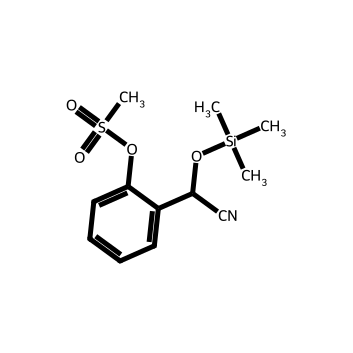 C[Si](C)(C)OC(C#N)c1ccccc1OS(C)(=O)=O